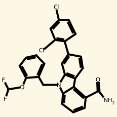 NC(=O)c1cccc2c1c1[c]cc(-c3ccc(Cl)cc3Cl)cc1n2Cc1ccccc1OC(F)F